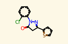 O=C1CC(c2cccs2)=NN1c1ccccc1Cl